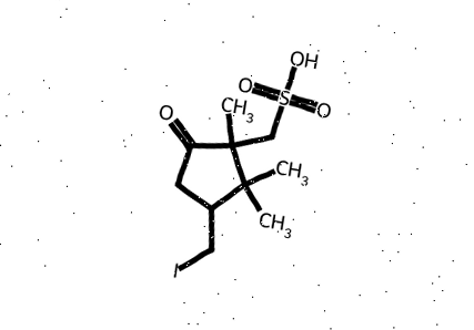 CC1(CS(=O)(=O)O)C(=O)CC(CI)C1(C)C